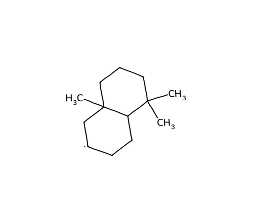 CC1(C)CCCC2(C)C[CH]CCC12